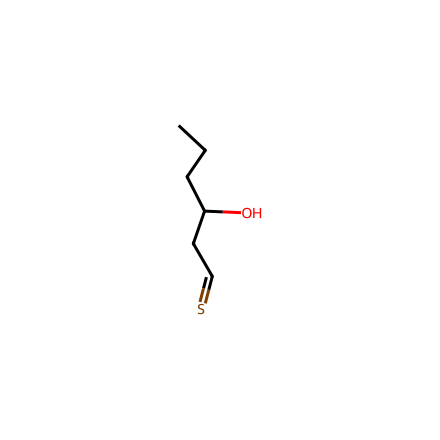 CCCC(O)CC=S